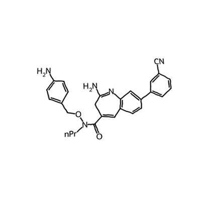 CCCN(OCc1ccc(N)cc1)C(=O)C1=Cc2ccc(-c3cccc(C#N)c3)cc2N=C(N)C1